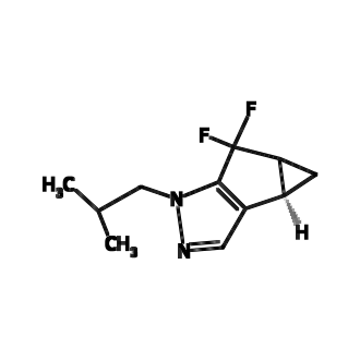 CC(C)Cn1ncc2c1C(F)(F)C1C[C@@H]21